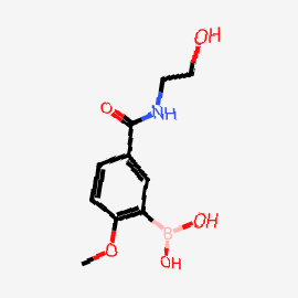 COc1ccc(C(=O)NCCO)cc1B(O)O